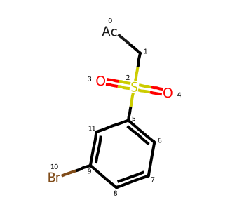 CC(=O)CS(=O)(=O)c1cccc(Br)c1